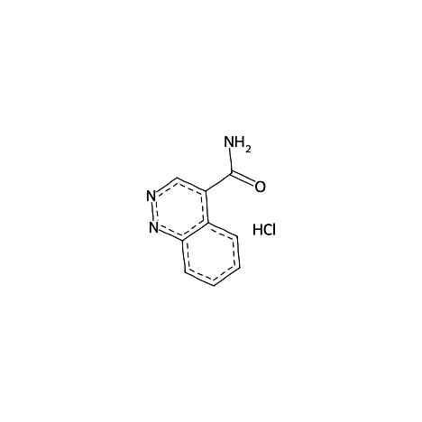 Cl.NC(=O)c1cnnc2ccccc12